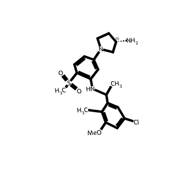 COc1cc(Cl)cc(C(C)Nc2cc(N3CC[C@H](N)C3)ccc2S(C)(=O)=O)c1C